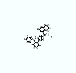 C[C@@H](NCC1CN(c2ccccn2)c2ccccc2O1)c1cccc2ccccc12